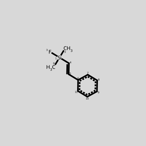 C[Si](C)(F)/C=C/c1ccccc1